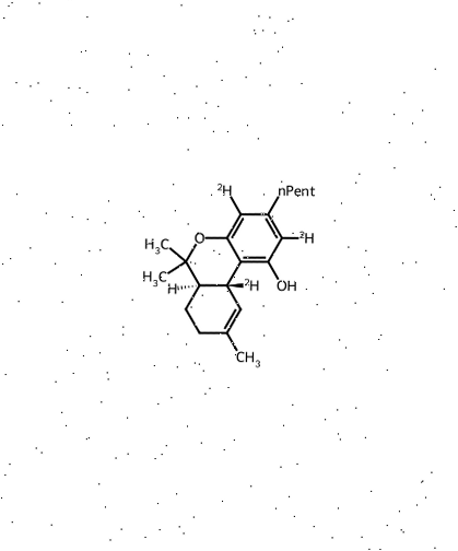 [2H]c1c(O)c2c(c([2H])c1CCCCC)OC(C)(C)[C@@H]1CCC(C)=C[C@@]21[2H]